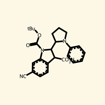 CC(C)(C)OC(=O)N1c2cc(C#N)ccc2C(C(=O)O)C1C1CCCN1c1ccccc1